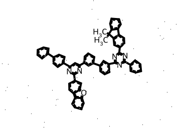 CC1(C)c2ccccc2-c2ccc(-c3nc(-c4ccccc4)nc(-c4cccc(-c5cccc(-c6cc(-c7ccc(-c8ccccc8)cc7)nc(-c7ccc8c(c7)oc7ccccc78)n6)c5)c4)n3)cc21